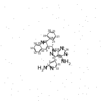 Nc1cc(-c2nn(Cc3cc4ccccc4nc3-c3ccccc3)c3ncnc(N)c23)ccn1